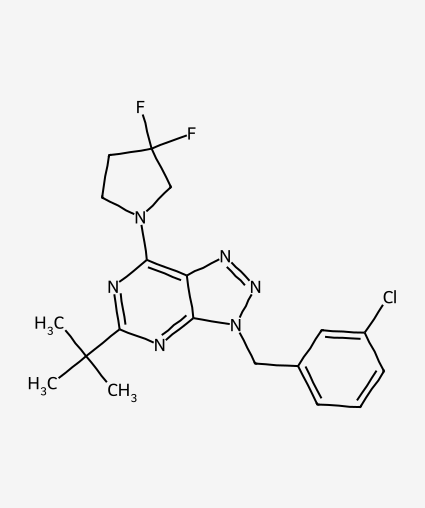 CC(C)(C)c1nc(N2CCC(F)(F)C2)c2nnn(Cc3cccc(Cl)c3)c2n1